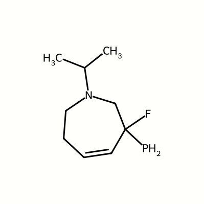 CC(C)N1CCC=CC(F)(P)C1